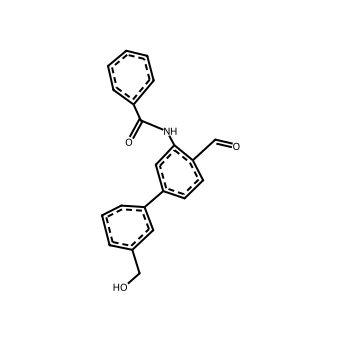 O=Cc1ccc(-c2cccc(CO)c2)cc1NC(=O)c1ccccc1